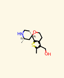 Cc1sc2c(c1CO)CCO[C@@]21CCN[C@@H](C)C1